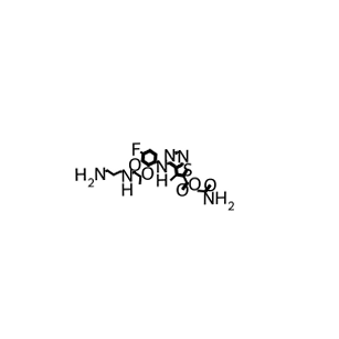 Cc1c(C(=O)OCC(N)=O)sc2ncnc(Nc3ccc(F)cc3OC(C)C(=O)NCCCN)c12